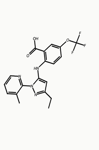 CCc1cc(Nc2ccc(OC(F)(F)F)cc2C(=O)O)n(-c2ncccc2C)n1